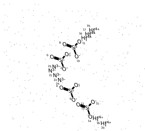 O=[Si]([O-])[O-].O=[Si]([O-])[O-].O=[Si]([O-])[O-].O=[Si]([O-])[O-].[Hf+4].[Hf+4].[Hf+4].[Hf+4].[Hf+4].[N-3].[N-3].[N-3].[N-3]